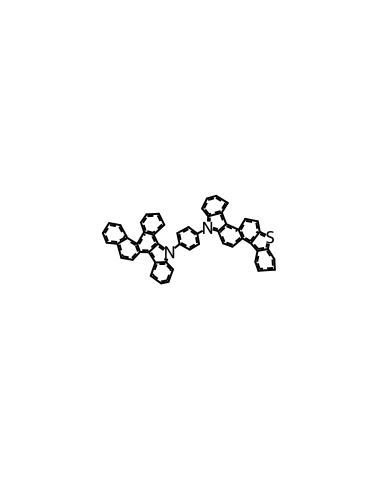 c1ccc2c(c1)ccc1c2c2ccccc2c2c1c1ccccc1n2-c1ccc(-n2c3ccccc3c3c4ccc5sc6ccccc6c5c4ccc32)cc1